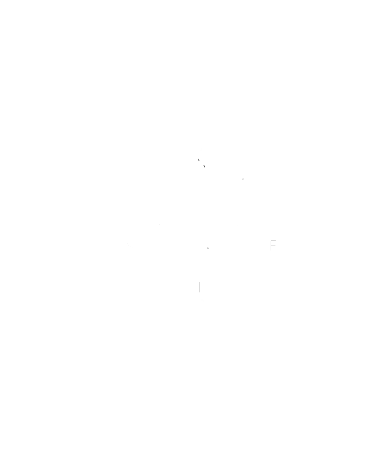 CSc1cncc(F)c1F